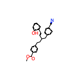 COC(=O)c1ccc(CCC(C=Cc2ccccc2O)Cc2ccc(C#N)cc2)cc1